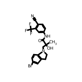 CC(O)(CN1CCc2cc(Br)ccc21)C(=O)Nc1ccc(C#N)c(C(F)(F)F)c1